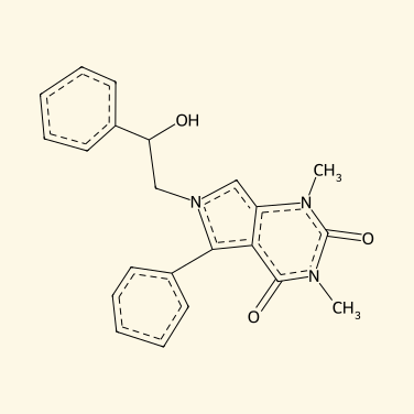 Cn1c(=O)c2c(-c3ccccc3)n(CC(O)c3ccccc3)cc2n(C)c1=O